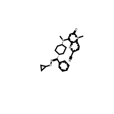 Cn1c(=O)cc(N(C)[C@H]2CC[C@@H](/C(=N/OC3CC3)c3ccccc3)CC2)c2nc(C#N)ccc21